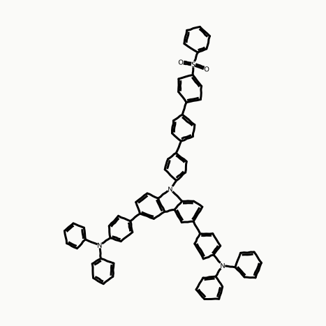 O=S(=O)(c1ccccc1)c1ccc(-c2ccc(-c3ccc(-n4c5ccc(-c6ccc(N(c7ccccc7)c7ccccc7)cc6)cc5c5cc(-c6ccc(N(c7ccccc7)c7ccccc7)cc6)ccc54)cc3)cc2)cc1